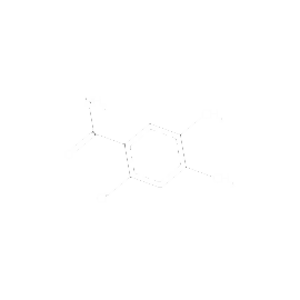 Cc1cc(Cl)c(C(N)=O)cc1C